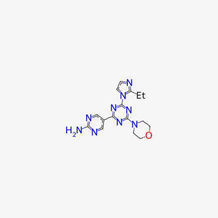 CCc1nccn1-c1nc(-c2cnc(N)nc2)nc(N2CCOCC2)n1